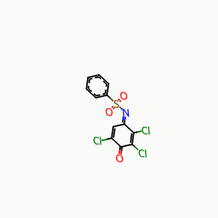 O=C1C(Cl)=C/C(=N\S(=O)(=O)c2ccccc2)C(Cl)=C1Cl